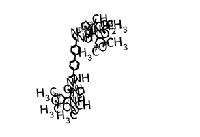 C#C[C@@H]1CC[C@@H](c2ncc(-c3ccc(-c4ccc(-c5cnc([C@@H]6CC[C@@H](C(=C)C)N6C(=O)[C@@H](NC(=O)OC)C6C[C@@H](C)O[C@H](C)C6)[nH]5)cc4)cc3)[nH]2)N1C(=O)[C@@H](NC(=O)OC)C1C[C@@H](C)O[C@H](C)C1